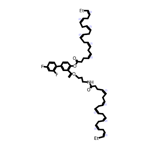 C=C(OCCCNC(=O)CC/C=C\C/C=C\C/C=C\C/C=C\C/C=C\C/C=C\CC)c1cc(-c2ccc(F)cc2F)ccc1OC(=O)CC/C=C\C/C=C\C/C=C\C/C=C\C/C=C\C/C=C\CC